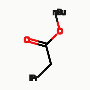 CCCCOC(=O)CC(C)C